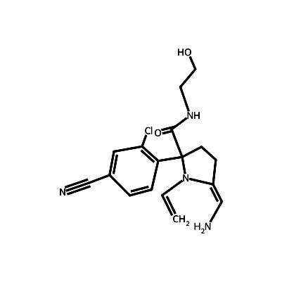 C=CN1/C(=C\N)CCC1(C(=O)NCCO)c1ccc(C#N)cc1Cl